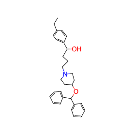 CCc1ccc(C(O)CCCN2CCC(OC(c3ccccc3)c3ccccc3)CC2)cc1